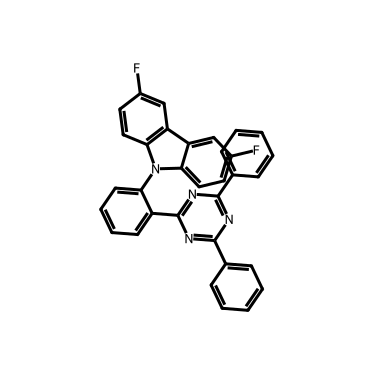 Fc1ccc2c(c1)c1cc(F)ccc1n2-c1ccccc1-c1nc(-c2ccccc2)nc(-c2ccccc2)n1